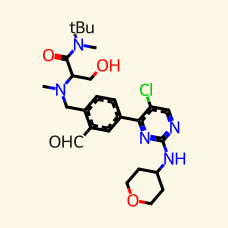 CN(Cc1ccc(-c2nc(NC3CCOCC3)ncc2Cl)cc1C=O)C(CO)C(=O)N(C)C(C)(C)C